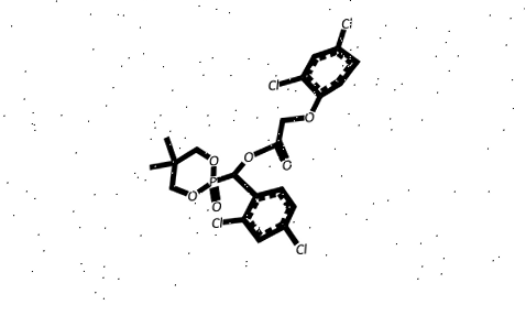 CC1(C)COP(=O)(C(OC(=O)COc2ccc(Cl)cc2Cl)c2ccc(Cl)cc2Cl)OC1